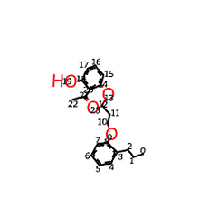 CCCc1ccccc1OCCCOc1cccc(O)c1C(C)=O